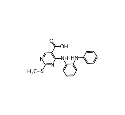 CSc1ncc(C(=O)O)c(Nc2ccccc2Nc2ccccc2)n1